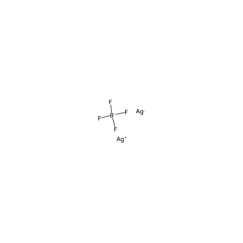 F[B-](F)(F)F.[Ag+].[Ag]